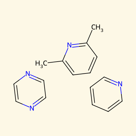 Cc1cccc(C)n1.c1ccncc1.c1cnccn1